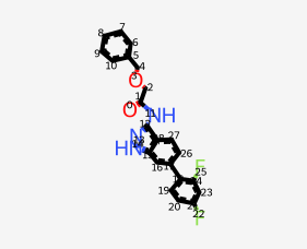 O=C(COCc1ccccc1)Nc1n[nH]c2cc(-c3ccc(F)cc3F)ccc12